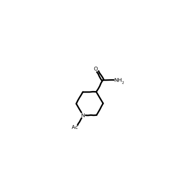 [CH2]C(=O)N1CCC(C(N)=O)CC1